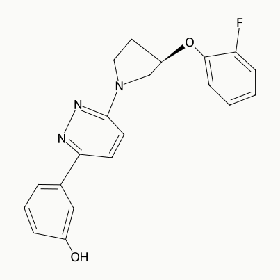 Oc1cccc(-c2ccc(N3CC[C@@H](Oc4ccccc4F)C3)nn2)c1